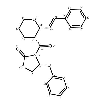 O=C1OC[C@@H](Cc2ccccc2)N1C(=O)[C@@H]1CCCO[C@@H]1C=Cc1ccccc1